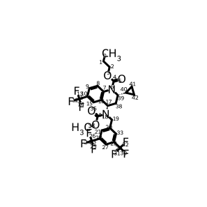 CCCOC(=O)N1c2ccc(C(F)(F)F)cc2[C@@H](N(Cc2cc(C(F)(F)F)cc(C(F)(F)F)c2)C(=O)OC)C[C@H]1C1CC1